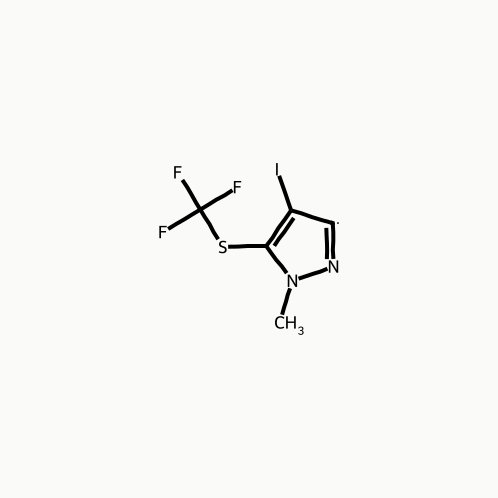 Cn1n[c]c(I)c1SC(F)(F)F